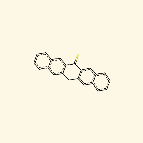 S=C1c2cc3ccccc3cc2Cc2cc3ccccc3cc21